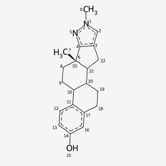 Cn1cc2c(n1)[C@@]1(C)CCC3c4ccc(O)cc4CCC3C1C2